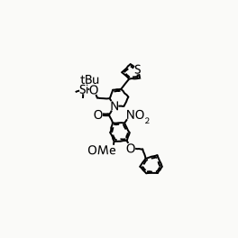 COc1cc(C(=O)N2CCC(c3ccsc3)=CC2CO[Si](C)(C)C(C)(C)C)c([N+](=O)[O-])cc1OCc1ccccc1